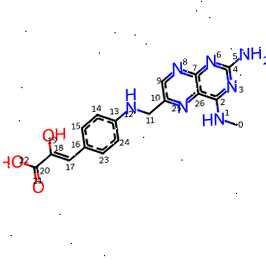 CNc1nc(N)nc2ncc(CNc3ccc(/C=C(\O)C(=O)O)cc3)nc12